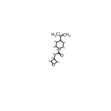 CC(C)C1CCN(C(=O)CC2COC2)CC1